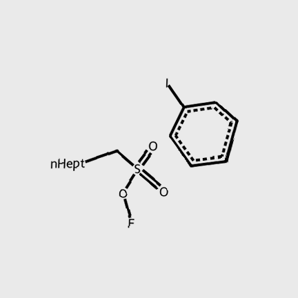 CCCCCCCCS(=O)(=O)OF.Ic1ccccc1